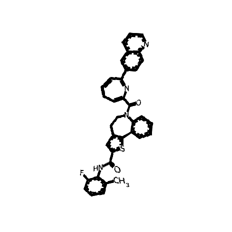 Cc1cccc(F)c1NC(=O)c1cc2c(s1)-c1ccccc1N(C(=O)C1=CCC=CC(c3ccc4ncccc4c3)=N1)CC2